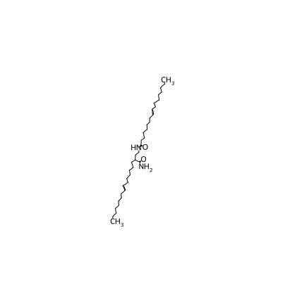 CCCCCCCCC=CCCCCCCCC(=O)NCCC(CCCCCCC=CCCCCCCCC)C(N)=O